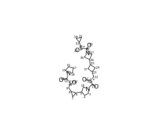 O=C(N1CCC(C2CC2C[S+]([O-])C(=O)N2CCCC2)C1)[S+]([O-])CC1CC(C2CN(C(=O)[S+]([O-])C3CC3)C2)C1